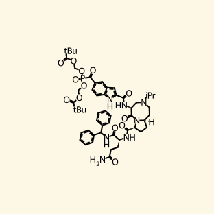 CC(C)N1CC[C@H]2CC[C@@H](C(=O)N[C@@H](CCC(N)=O)C(=O)NC(c3ccccc3)c3ccccc3)N2C(=O)[C@@H](NC(=O)c2cc3cc(C(=O)P(=O)(OCOC(=O)C(C)(C)C)OCOC(=O)C(C)(C)C)ccc3[nH]2)C1